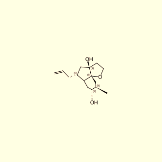 C=CC[C@@H]1C[C@]2(O)CCO[C@@]23C[C@@H](C)[C@H](O)CC13